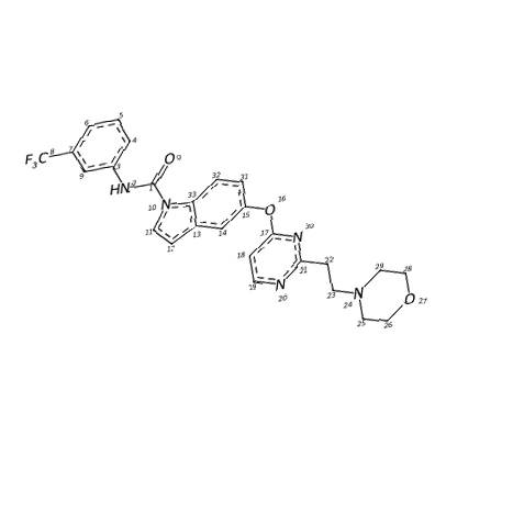 O=C(Nc1cccc(C(F)(F)F)c1)n1ccc2cc(Oc3ccnc(CCN4CCOCC4)n3)ccc21